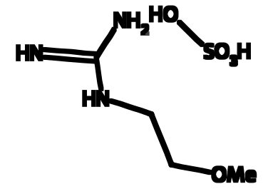 COCCNC(=N)N.O=S(=O)(O)O